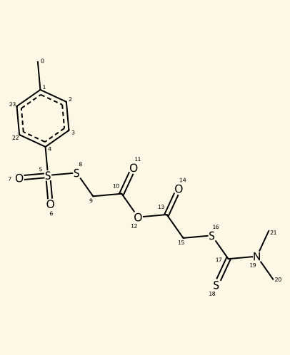 Cc1ccc(S(=O)(=O)SCC(=O)OC(=O)CSC(=S)N(C)C)cc1